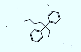 [CH2]CCCC(CC)(c1ccccc1)c1ccccc1